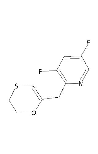 Fc1cnc(CC2=CSCCO2)c(F)c1